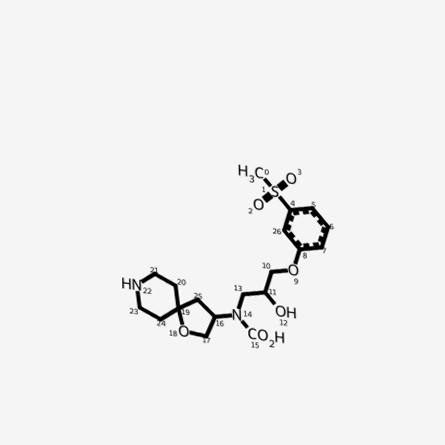 CS(=O)(=O)c1cccc(OCC(O)CN(C(=O)O)C2COC3(CCNCC3)C2)c1